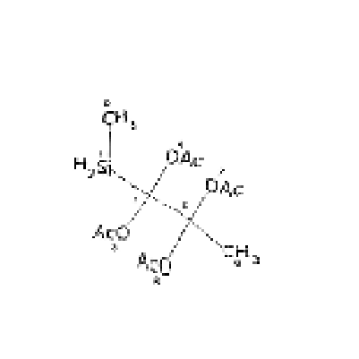 C[SiH2]C(OC(C)=O)(OC(C)=O)C(C)(OC(C)=O)OC(C)=O